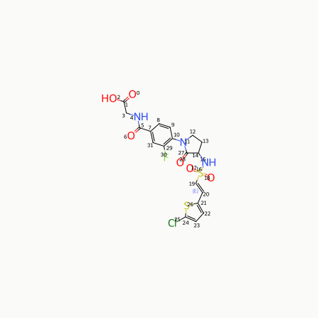 O=C(O)CNC(=O)c1ccc(N2CCC(NS(=O)(=O)/C=C/c3ccc(Cl)s3)C2=O)c(F)c1